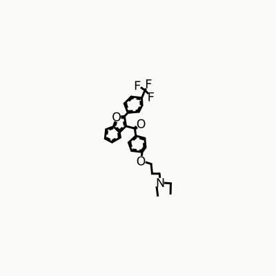 CCN(CC)CCCOc1ccc(C(=O)c2c(-c3ccc(C(F)(F)F)cc3)oc3ccccc23)cc1